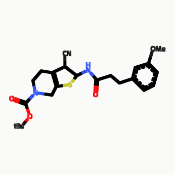 COc1cccc(CCC(=O)NC2SC3=C(CCN(C(=O)OC(C)(C)C)C3)C2C#N)c1